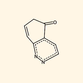 O=C1CC=Cc2nnccc21